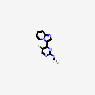 C=Nc1ncc(F)c(-c2cnc3ccccn23)n1